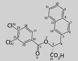 O=C(O[C@H](Cc1ccc2ccccc2c1)C(=O)O)c1ccc(Cl)c(Cl)c1